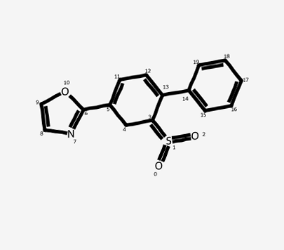 O=S(=O)=C1CC(c2ncco2)=CC=C1c1ccccc1